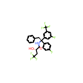 O=C(N[C@@](Cc1ccccc1)(c1ccc(F)cc1)c1cc(F)cc(C(F)(F)F)c1)[C@@H](O)CC(F)(F)F